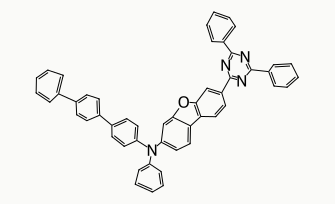 c1ccc(-c2ccc(-c3ccc(N(c4ccccc4)c4ccc5c(c4)oc4cc(-c6nc(-c7ccccc7)nc(-c7ccccc7)n6)ccc45)cc3)cc2)cc1